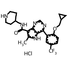 Cc1[nH]c2c(-c3cc(C(F)(F)F)ccc3OCC3CC3)ncnc2c1C(=O)NC1CCNCC1.Cl